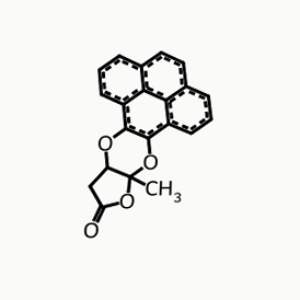 CC12OC(=O)CC1Oc1c(c3cccc4ccc5cccc1c5c43)O2